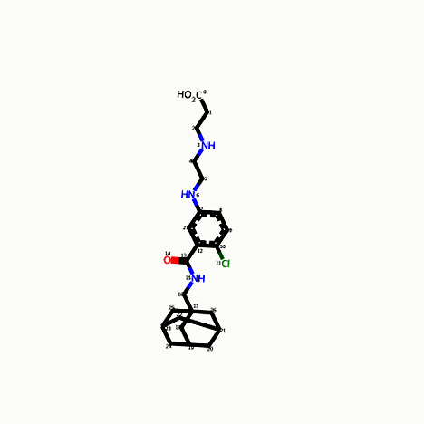 O=C(O)CCNCCNc1ccc(Cl)c(C(=O)NCC23CC4CC(CC(C4)C2)C3)c1